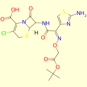 CC(C)(C)OC(=O)CO/N=C(\C(=O)NC1C(=O)N2C(C(=O)O)=C(Cl)CS[C@H]12)c1csc(N)n1